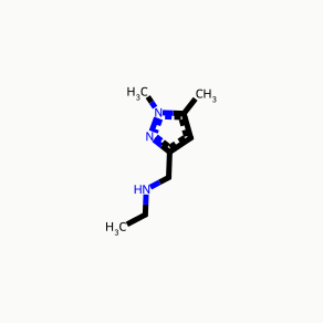 CCNCc1cc(C)n(C)n1